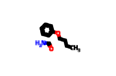 CCCCOc1ccccc1.NC=O